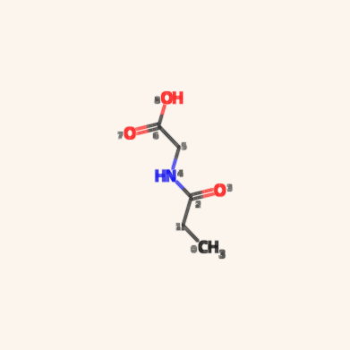 C[CH]C(=O)NCC(=O)O